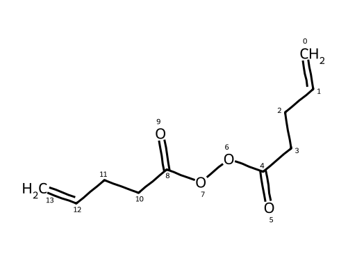 C=CCCC(=O)OOC(=O)CCC=C